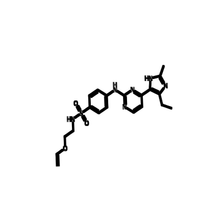 C=COCCNS(=O)(=O)c1ccc(Nc2nccc(-c3[nH]c(C)nc3CC)n2)cc1